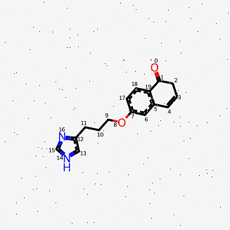 O=C1CC=Cc2cc(OCCCc3c[nH]cn3)ccc21